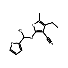 CCc1c(C)oc(NC(O)c2ccco2)c1C#N